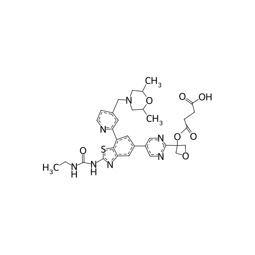 CCNC(=O)Nc1nc2cc(-c3cnc(C4(OC(=O)CCC(=O)O)COC4)nc3)cc(-c3cc(CN4CC(C)OC(C)C4)ccn3)c2s1